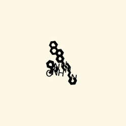 C1=CC2=C(CC1)CCc1c2ccc2cc(N3CCN(CCc4ccccn4)CC3)ccc12.O=c1[nH]cnc2ccccc12